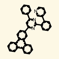 c1ccc(-c2cc(-c3ccc4c5ccccc5c5ccccc5c4c3)nc(-c3ccccc3-c3cccnc3)n2)cc1